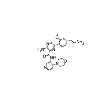 COc1cc(CCN)ccc1-c1cnc(N)c(C(=O)Nc2cnccc2N2CCOCC2)n1